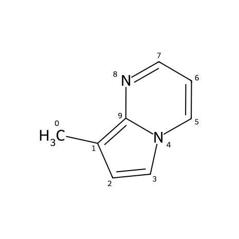 Cc1ccn2cccnc12